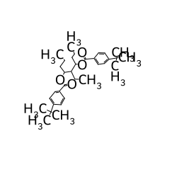 CCCC(OC(=O)c1ccc(C(C)(C)C)cc1)C(CC)C(CCC)OC(=O)c1ccc(C(C)(C)C)cc1